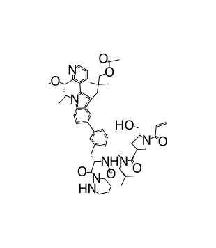 C=CC(=O)N1C[C@@H](C(=O)N(C)[C@H](C(=O)N[C@@H](Cc2cccc(-c3ccc4c(c3)c(CC(C)(C)COC(C)=O)c(-c3cccnc3[C@H](C)OC)n4CC)c2)C(=O)N2CCCCN2)C(C)C)C[C@@H]1CO